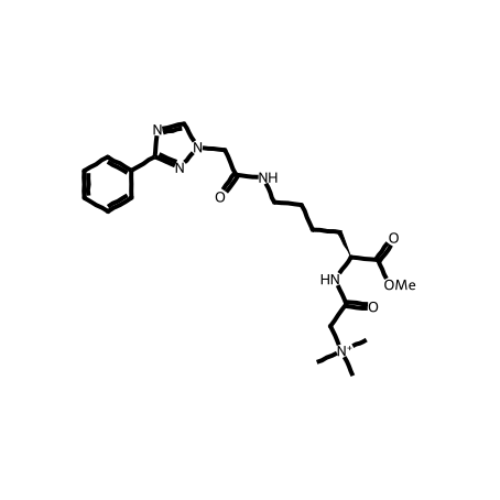 COC(=O)[C@H](CCCCNC(=O)Cn1cnc(-c2ccccc2)n1)NC(=O)C[N+](C)(C)C